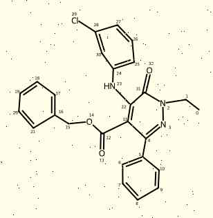 CCn1nc(-c2ccccc2)c(C(=O)OCc2ccccc2)c(Nc2cccc(Cl)c2)c1=O